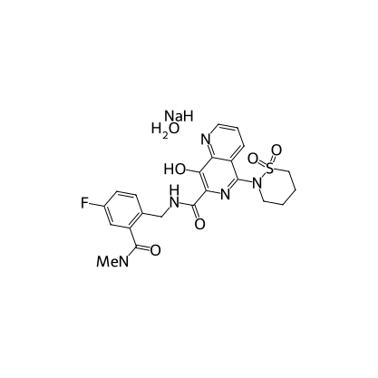 CNC(=O)c1cc(F)ccc1CNC(=O)c1nc(N2CCCCS2(=O)=O)c2cccnc2c1O.O.[NaH]